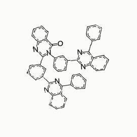 O=c1c2ccccc2nc(-c2cccc(-c3nc(-c4ccccc4)c4ccccc4n3)c2)n1-c1cccc(-c2nc(-c3ccccc3)c3ccccc3n2)c1